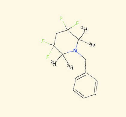 [2H]C1([2H])N(Cc2ccccc2)C([2H])([2H])C(F)(F)CC1(F)F